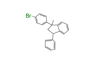 CC1(c2ccc(Br)cc2)CC(c2ccccc2)c2ccccc21